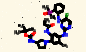 C=CC(=O)Nc1cc(Nc2ncc(Cl)c(Nc3ccccc3P(C)(C)=O)n2)c(C)cc1N1CCC(NC(=O)OC(C)(C)C)C1